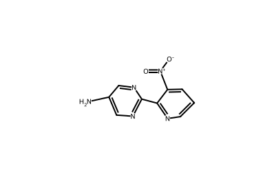 Nc1cnc(-c2ncccc2[N+](=O)[O-])nc1